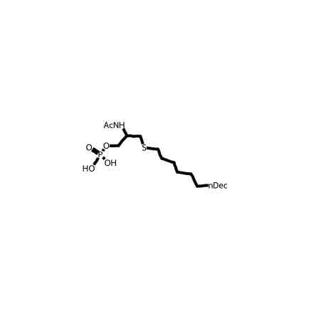 CCCCCCCCCCCCCCCCSCC(COP(=O)(O)O)NC(C)=O